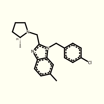 Cc1ccc2nc(CN3CCC[C@H]3C)n(Cc3ccc(Cl)cc3)c2c1